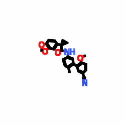 COc1ccc(C#N)cc1-c1cc(NC(=O)C2(c3ccc4c(c3)OCO4)CC2)ccc1C